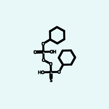 O=P(O)(OOP(O)(=S)OC1CCCCC1)OC1CCCCC1